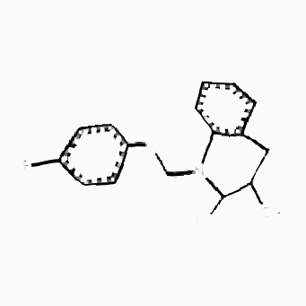 CC1Cc2ccccc2N(COc2ccc(F)cc2)C1C